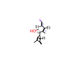 C=C1C(C)=C2C([C@H](CO)/C(C)=C(CC)\C(=C\I)CC)[C@H]12